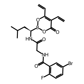 C=CC1=C(C=C)C(=O)OB([C@H](CC(C)C)NC(=O)CNC(=O)c2cc(Br)ccc2F)O1